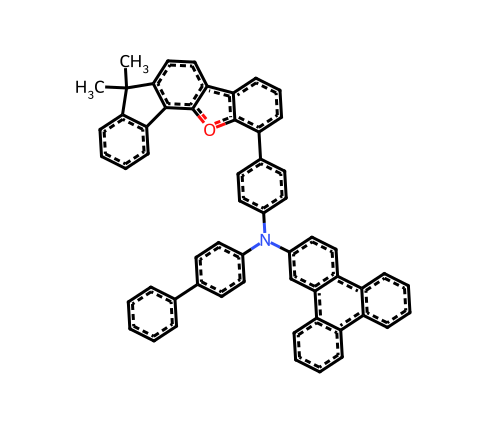 CC1(C)c2ccccc2-c2c1ccc1c2oc2c(-c3ccc(N(c4ccc(-c5ccccc5)cc4)c4ccc5c6ccccc6c6ccccc6c5c4)cc3)cccc21